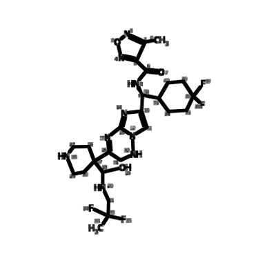 Cc1nonc1C(=O)N[C@H](c1cn2c(n1)N=C(C1(C(O)NCC(C)(F)F)CCNCC1)CN2)C1CCC(F)(F)CC1